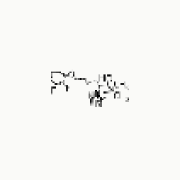 CC(C)(C)C(O)C(CC=CCOc1cccc(F)c1F)n1cncn1